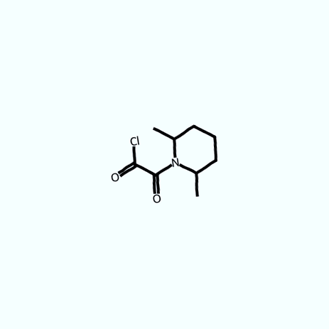 CC1CCCC(C)N1C(=O)C(=O)Cl